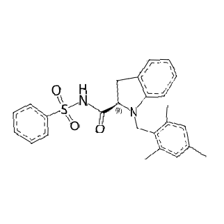 Cc1cc(C)c(CN2c3ccccc3C[C@@H]2C(=O)NS(=O)(=O)c2ccccc2)c(C)c1